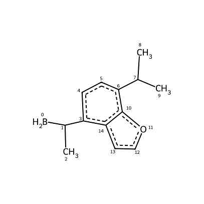 BC(C)c1ccc(C(C)C)c2occc12